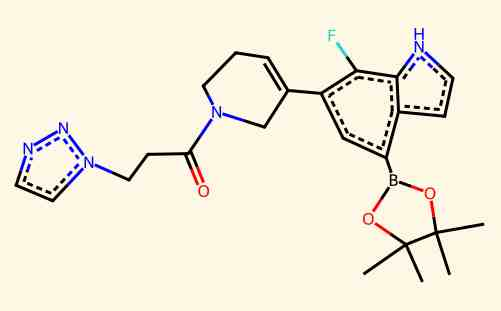 CC1(C)OB(c2cc(C3=CCCN(C(=O)CCn4ccnn4)C3)c(F)c3[nH]ccc23)OC1(C)C